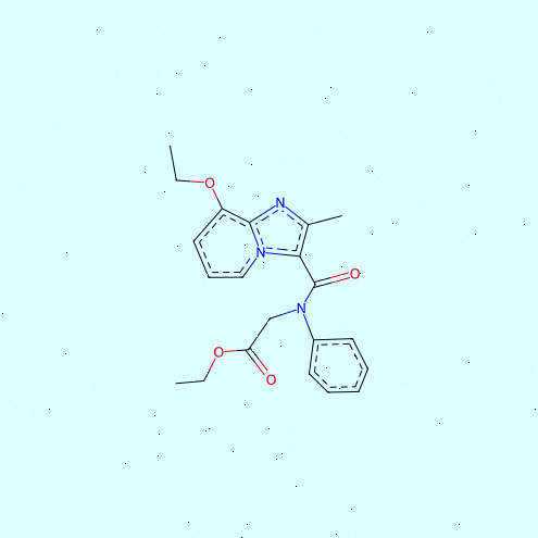 CCOC(=O)CN(C(=O)c1c(C)nc2c(OCC)cccn12)c1ccccc1